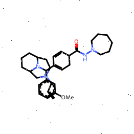 C=CCN1CCC2CCCC(C1)N2C(C1=CCC(C(=O)NN2CCCCCC2)C=C1)c1cccc(OC)c1